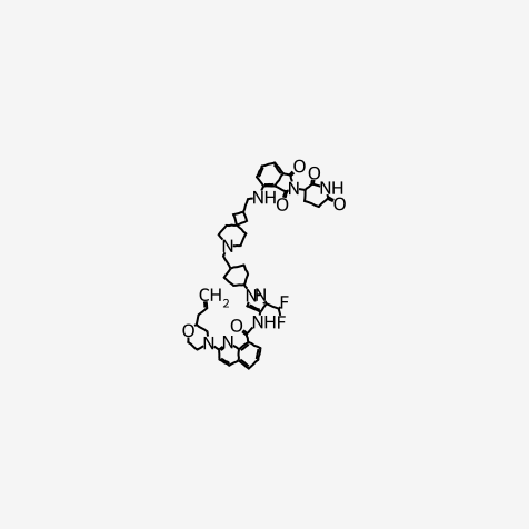 C=CCC1CN(c2ccc3cccc(C(=O)Nc4cn(C5CCC(CN6CCC7(CC6)CC(CNc6cccc8c6C(=O)N(C6CCC(=O)NC6=O)C8=O)C7)CC5)nc4C(F)F)c3n2)CCO1